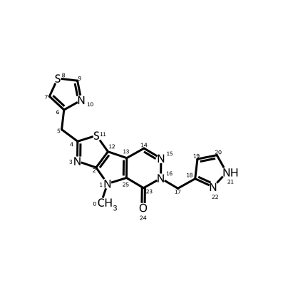 Cn1c2nc(Cc3cscn3)sc2c2cnn(Cc3cc[nH]n3)c(=O)c21